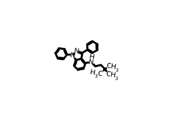 CC(C)(C)CCNc1cccc2c1c(-c1ccccc1)nn2-c1ccccc1